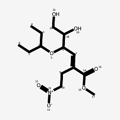 CCC(CC)OC(/C=C(\CC[N+](=O)[O-])C(=O)OC)C(O)CO